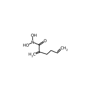 C=CCCC(=C)C(=O)N(O)O